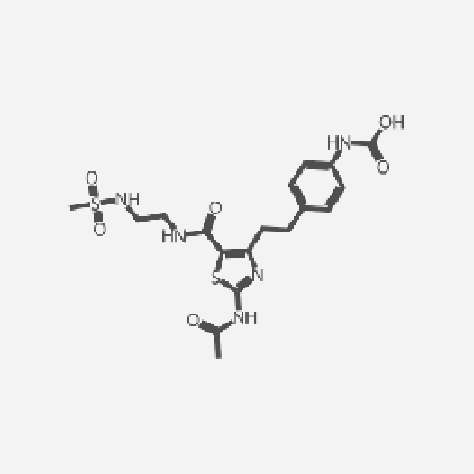 CC(=O)Nc1nc(CCc2ccc(NC(=O)O)cc2)c(C(=O)NCCNS(C)(=O)=O)s1